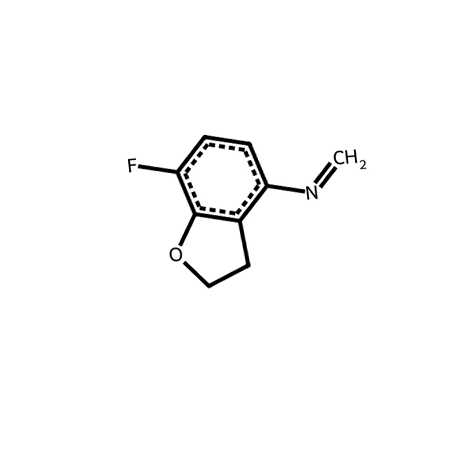 C=Nc1ccc(F)c2c1CCO2